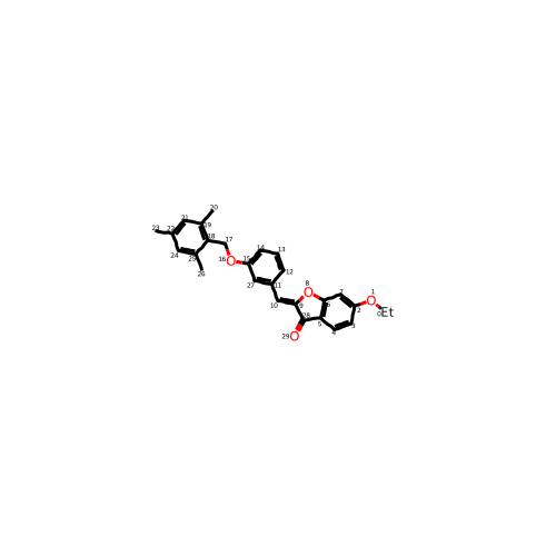 CCOc1ccc2c(c1)OC(=Cc1cccc(OCc3c(C)cc(C)cc3C)c1)C2=O